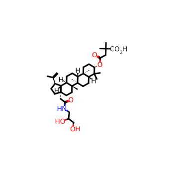 C=C(C)[C@@H]1CC[C@]2(CC(=O)NCC(O)CO)CC[C@]3(C)[C@H](CC[C@@H]4[C@@]5(C)CC[C@H](OC(=O)CC(C)(C)C(=O)O)C(C)(C)[C@@H]5CC[C@]43C)[C@@H]12